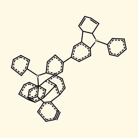 c1ccc2c(c#1)-c1cccc3c1-c1cc(N(c4ccccc4)c4ccc(-c5ccc6c(c5)C5C=CC=CC5N6c5ccccc5)cc4)ccc1-c1cccc-3c1-2